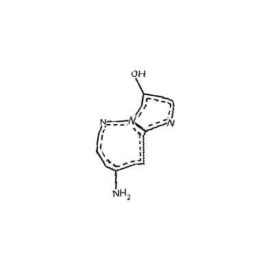 Nc1cnn2c(O)cnc2c1